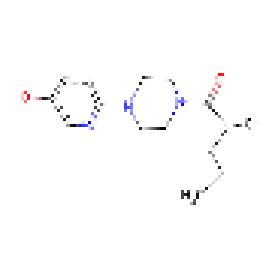 CCCC(C)C(=O)N1CCN(c2ccc(O)cn2)CC1